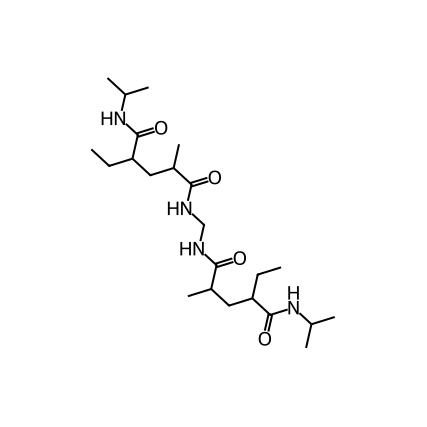 CCC(CC(C)C(=O)NCNC(=O)C(C)CC(CC)C(=O)NC(C)C)C(=O)NC(C)C